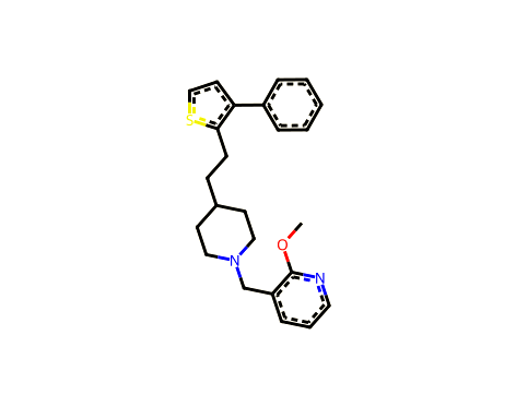 COc1ncccc1CN1CCC(CCc2sccc2-c2ccccc2)CC1